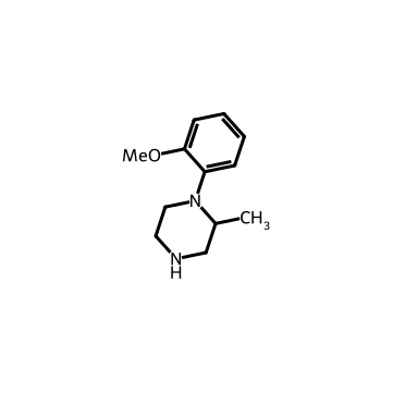 COc1ccccc1N1CCNCC1C